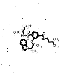 C[C@@H](Oc1cc(C(=O)NCCN(C)C)ccc1S(=O)(=O)N[C@H](C=O)CC(=O)O)[C@H](C)n1cnc2ccccc21